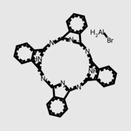 [AlH2][Br].c1ccc2c(c1)-c1nc-2nc2[nH]c(nc3nc(nc4[nH]c(n1)c1ccccc41)-c1ccccc1-3)c1ccccc21